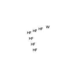 F.F.F.F.F.F.[W]